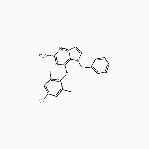 [C-]#[N+]c1cc(C)c(Oc2nc(N)nc3ccn(Cc4ccccc4)c23)c(C)c1